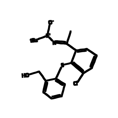 CC(=N[S+]([O-])C(C)(C)C)c1cccc(Cl)c1Sc1ccccc1CO